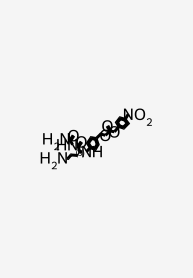 NCCC[C@H](Nc1ccc(COC(=O)Oc2ccc([N+](=O)[O-])cc2)cc1)C(=O)NC(N)=O